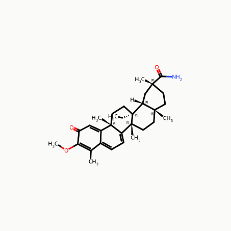 CC[C@@]12CC[C@@]3(C)C4=CC(=O)C(OC)=C(C)C4=CC=C3[C@@]1(C)CC[C@@]1(C)CC[C@@](C)(C(N)=O)C[C@H]12